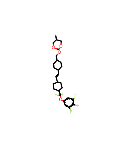 CC1COC(OCC2CCC(/C=C/C3CCC(C(F)(F)Oc4cc(F)c(F)c(F)c4)CC3)CC2)OC1